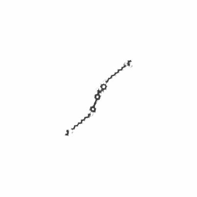 C=CC(=O)OCCCCCCCCCCCOc1ccc(C#Cc2ccc(C(=O)OC3CCC(OCCCCCCCCCCCOC(=O)C=C)CC3)cc2)cc1